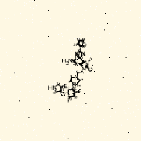 Cn1c(=O)n(CCN2CCN(c3cc(O[C@H]4CNC[C@H]4F)c(F)cc3F)CC2)c2nc(N)n3nc(-c4ccco4)nc3c21